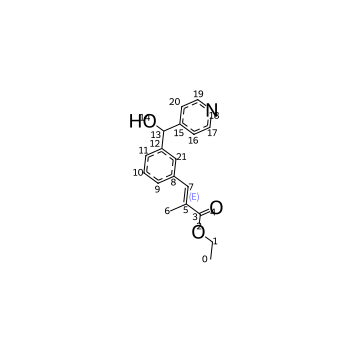 CCOC(=O)/C(C)=C/c1cccc(C(O)c2ccncc2)c1